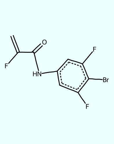 C=C(F)C(=O)Nc1cc(F)c(Br)c(F)c1